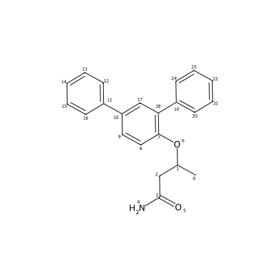 CC(CC(N)=O)Oc1ccc(-c2ccccc2)cc1-c1ccccc1